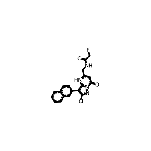 O=C(CF)NCc1cc(=O)n2nc(Cl)c(-c3ccc4ccccc4c3)c2[nH]1